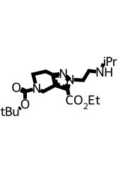 CCOC(=O)c1c2c(nn1CCNC(C)C)CCN(C(=O)OC(C)(C)C)C2